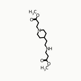 COC(=O)CCNCCC1CCN(CCC(=O)OC)CC1